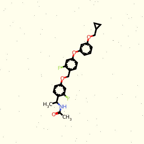 CC(=O)NC(C)c1ccc(OCc2ccc(Oc3cccc(OCC4CC4)c3)cc2F)cc1F